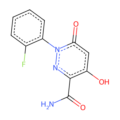 NC(=O)c1nn(-c2ccccc2F)c(=O)cc1O